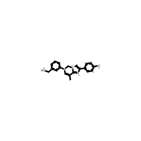 CC1=CN(c2cccc(CO)c2)C[N+]2C=C(c3ccc(Cl)cc3)N=C12